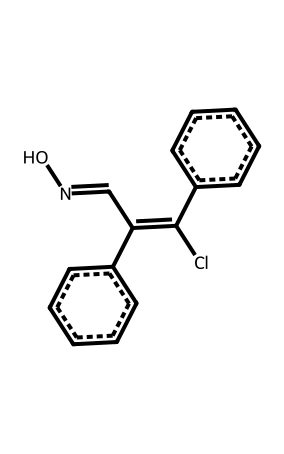 ON=CC(=C(Cl)c1ccccc1)c1ccccc1